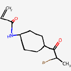 C=CC(=O)NC1CCC(C(=O)C(C)Br)CC1